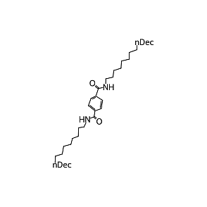 CCCCCCCCCCCCCCCCCCNC(=O)c1ccc(C(=O)NCCCCCCCCCCCCCCCCCC)cc1